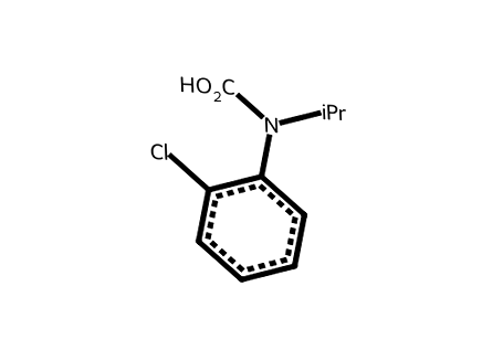 CC(C)N(C(=O)O)c1ccccc1Cl